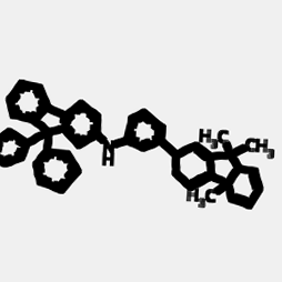 CC1(C)C2=CC(c3cccc(Nc4ccc5c(c4)C(c4ccccc4)(c4ccccc4)c4ccccc4-5)c3)CC=C2C2(C)C=CC=CC12